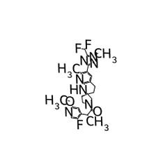 COc1cc([C@@H](C)C(=O)N2CC[C@@]3(CCc4cc(-c5nc(C(F)F)n(C)n5)c(C)nc4N3)C2)c(F)cn1